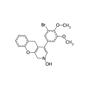 COc1cc(C2=CN(O)CC3=C2Cc2ccccc2O3)cc(Br)c1OC